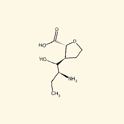 CC[C@H](N)C(O)[C@@H]1CCO[C@H]1C(=O)O